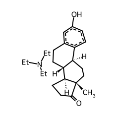 CCN(CC)CC.C[C@]12CC[C@@H]3c4ccc(O)cc4CC[C@H]3[C@@H]1CCC2=O